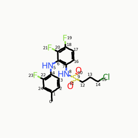 Cc1ccc(Nc2c(NS(=O)(=O)CCCCl)ccc(F)c2F)c(F)c1